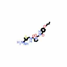 CCCCOc1ccc(C(=O)NCC(=O)N2CCC[C@H]2C(=O)NCc2cc(C(=N)N)cs2)cc1